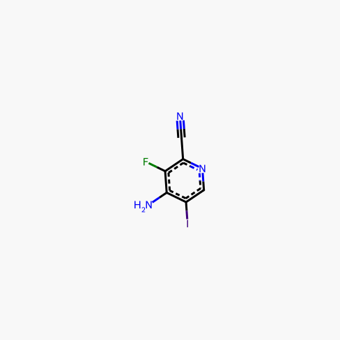 N#Cc1ncc(I)c(N)c1F